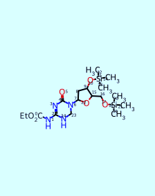 CCOC(=O)NC1=NC(=O)N(C2CC(O[Si](C)(C)C)C(CO[Si](C)(C)C)O2)CN1